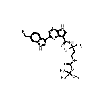 CC(C)(CCNC(=O)OC(C)(C)C)NC(=O)c1c[nH]c2ncc(-c3n[nH]c4cc(CF)ccc34)nc12